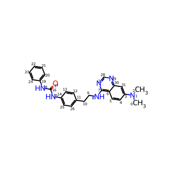 CN(C)c1ccc2c(NCCc3ccc(NC(=O)Nc4ccccc4)cc3)ncnc2c1